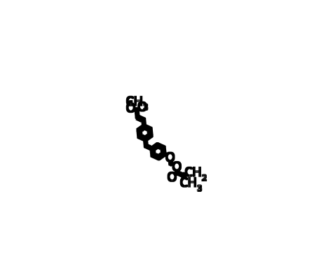 C=C(C)C(=O)OCOc1ccc(Cc2ccc(/C=C/C(=O)OC)cc2)cc1